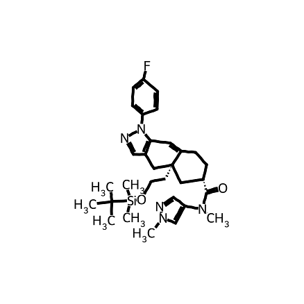 CN(C(=O)[C@H]1CCC2=Cc3c(cnn3-c3ccc(F)cc3)C[C@]2(CCO[Si](C)(C)C(C)(C)C)C1)c1cnn(C)c1